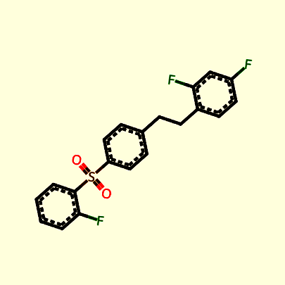 O=S(=O)(c1ccc(CCc2ccc(F)cc2F)cc1)c1ccccc1F